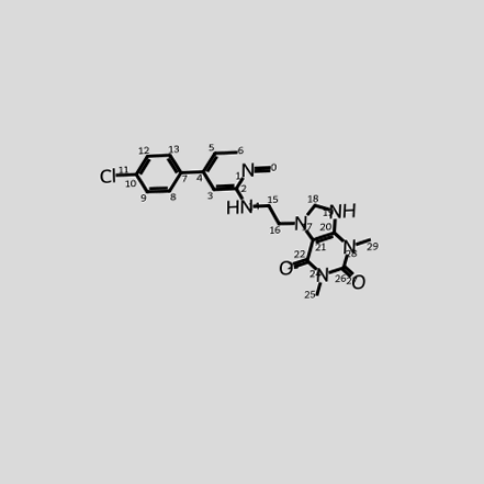 C=N/C(=C\C(=C/C)c1ccc(Cl)cc1)NCCN1CNc2c1c(=O)n(C)c(=O)n2C